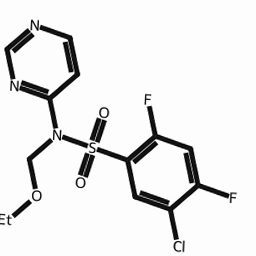 CCOCN(c1ccncn1)S(=O)(=O)c1cc(Cl)c(F)cc1F